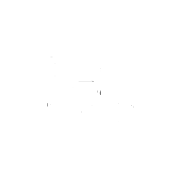 CC(C)c1cc(F)cc(C(=O)N(Cc2nccs2)C2CC2)c1